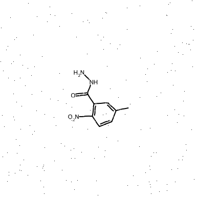 Cc1ccc([N+](=O)[O-])c(C(=O)NN)c1